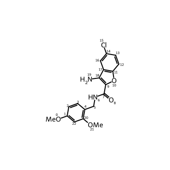 COc1ccc(CNC(=O)c2oc3ccc(Cl)cc3c2N)c(OC)c1